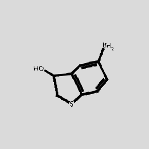 Bc1ccc2c(c1)C(O)CS2